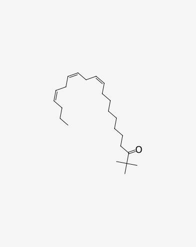 CCC/C=C\C/C=C\C/C=C\CCCCCCCC(=O)C(C)(C)C